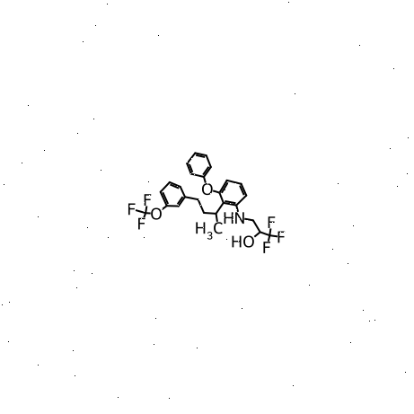 CC(CCc1cccc(OC(F)(F)F)c1)c1c(NCC(O)C(F)(F)F)cccc1Oc1ccccc1